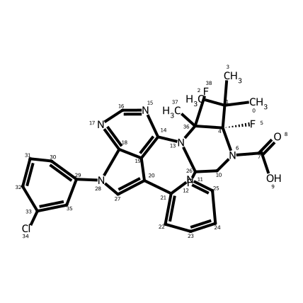 CC(C)(C)[C@@]1(F)N(C(=O)O)CC(F)N(c2ncnc3c2c(-c2ccccn2)cn3-c2cccc(Cl)c2)C1(C)F